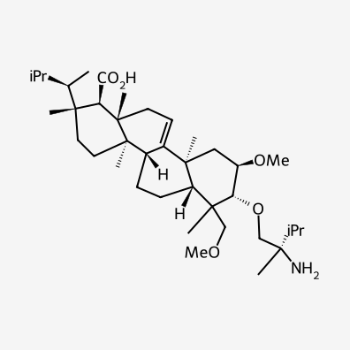 COCC1(C)[C@@H](OC[C@](C)(N)C(C)C)[C@H](OC)C[C@]2(C)C3=CC[C@@]4(C)[C@H](C(=O)O)[C@@](C)([C@H](C)C(C)C)CC[C@]4(C)[C@H]3CC[C@@H]12